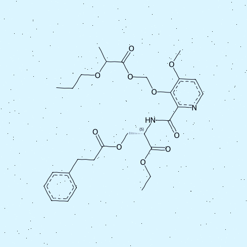 CCCOC(C)C(=O)OCOc1c(OC)ccnc1C(=O)N[C@@H](COC(=O)CCc1ccccc1)C(=O)OCC